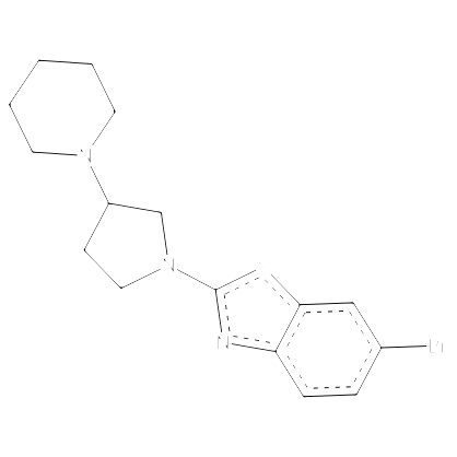 Brc1ccc2nc(N3CCC(N4CCCCC4)C3)sc2c1